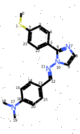 CSc1ccc(-c2nccn2N=Cc2ccc(N(C)C)cc2)cc1